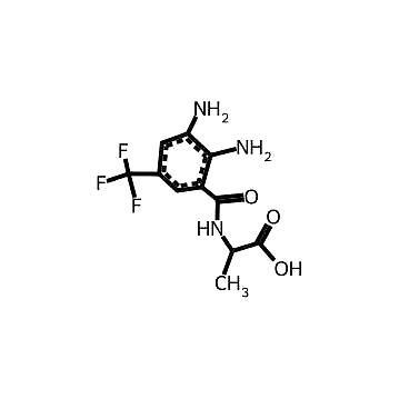 CC(NC(=O)c1cc(C(F)(F)F)cc(N)c1N)C(=O)O